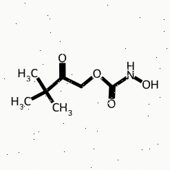 CC(C)(C)C(=O)COC(=O)NO